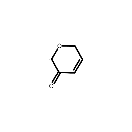 O=C1[CH]OCC=C1